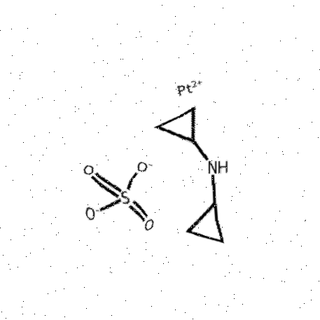 C1CC1NC1CC1.O=S(=O)([O-])[O-].[Pt+2]